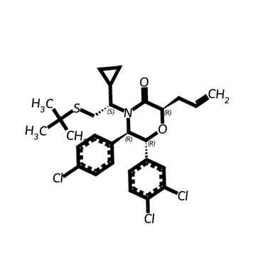 C=CC[C@H]1O[C@H](c2ccc(Cl)c(Cl)c2)[C@@H](c2ccc(Cl)cc2)N([C@H](CSC(C)(C)C)C2CC2)C1=O